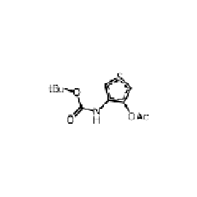 CC(=O)Oc1cscc1NC(=O)OC(C)(C)C